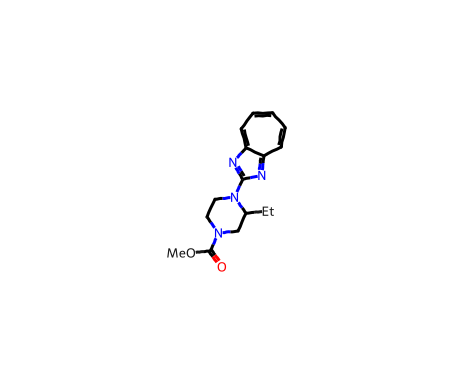 CCC1CN(C(=O)OC)CCN1c1nc2cccccc-2n1